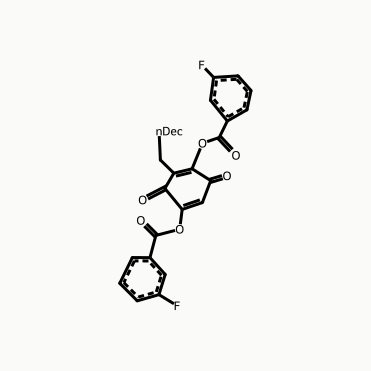 CCCCCCCCCCCC1=C(OC(=O)c2cccc(F)c2)C(=O)C=C(OC(=O)c2cccc(F)c2)C1=O